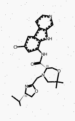 CC(C)[C@H]1COC(CN2CC(C)(C)OC[C@H]2C(=O)Nc2cc(Cl)cc3c2[nH]c2cnccc23)=N1